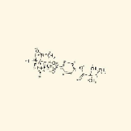 CCC(C)(C)C(=O)Oc1ccc(C(=O)OC(C)(C)C(N=O)(C(F)(F)F)C(F)(F)F)cc1